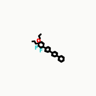 CCCOC1(CCC)C=CC(c2ccc(-c3ccc(-c4ccccc4)cc3)cc2)=C(F)C1F